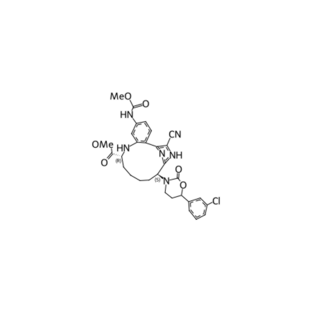 COC(=O)Nc1ccc2c(c1)N[C@@H](C(=O)OC)CCCC[C@H](N1CCC(c3cccc(Cl)c3)OC1=O)c1nc-2c(C#N)[nH]1